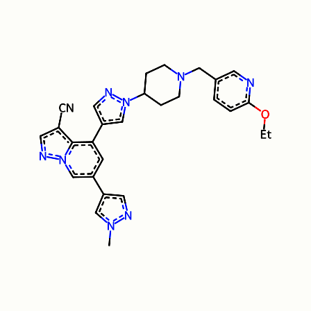 CCOc1ccc(CN2CCC(n3cc(-c4cc(-c5cnn(C)c5)cn5ncc(C#N)c45)cn3)CC2)cn1